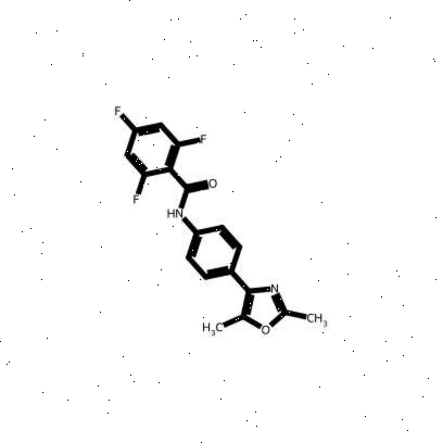 Cc1nc(-c2ccc(NC(=O)c3c(F)cc(F)cc3F)cc2)c(C)o1